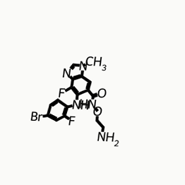 Cn1cnc2c(F)c(Nc3ccc(Br)cc3F)c(C(=O)NOCCN)cc21